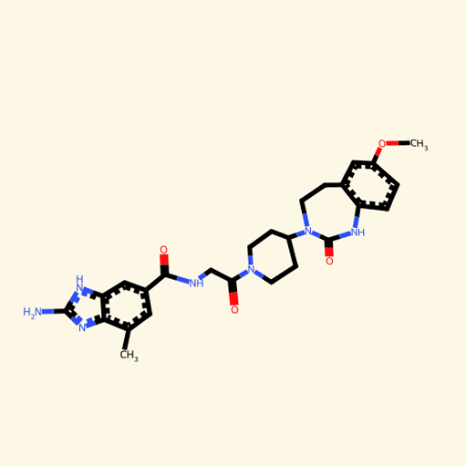 COc1ccc2c(c1)CCN(C1CCN(C(=O)CNC(=O)c3cc(C)c4nc(N)[nH]c4c3)CC1)C(=O)N2